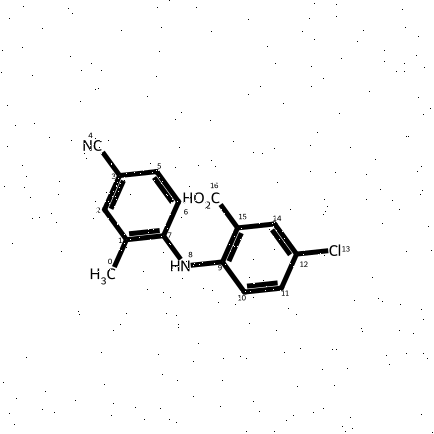 Cc1cc(C#N)ccc1Nc1ccc(Cl)cc1C(=O)O